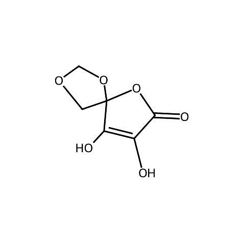 O=C1OC2(COCO2)C(O)=C1O